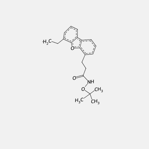 [CH2]Cc1cccc2c1oc1c(CCC(=O)NOC(C)(C)C)cccc12